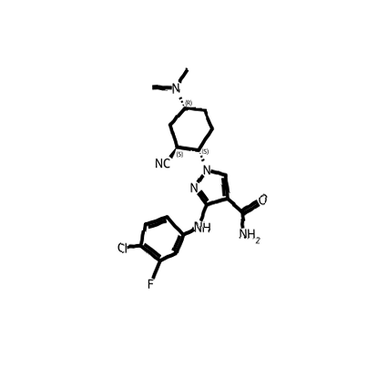 CN(C)[C@@H]1CC[C@H](n2cc(C(N)=O)c(Nc3ccc(Cl)c(F)c3)n2)[C@@H](C#N)C1